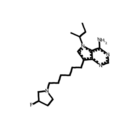 CCC(C)n1cc(CCCCCCN2CCC(F)C2)c2ncnc(N)c21